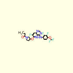 C=CC(=O)N1CC[C@H](Oc2nc3c(Nc4ccc(OC(F)F)c(F)c4F)ncnc3cc2F)C1